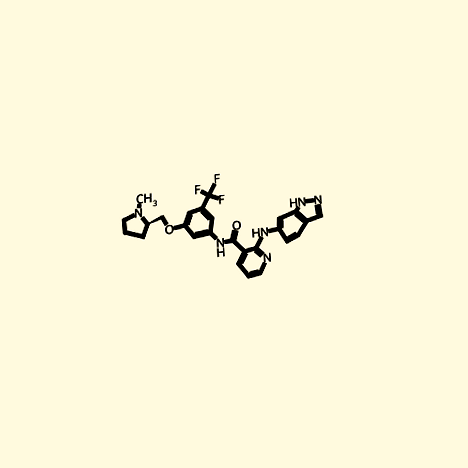 CN1CCC[C@@H]1COc1cc(NC(=O)c2cccnc2Nc2ccc3cn[nH]c3c2)cc(C(F)(F)F)c1